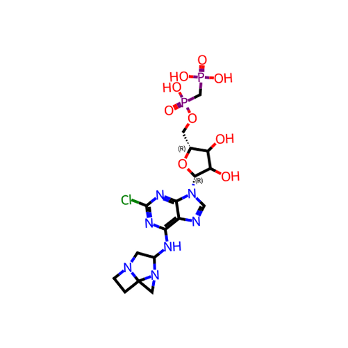 O=P(O)(O)CP(=O)(O)OC[C@H]1O[C@@H](n2cnc3c(NC4CN5CCC56CN46)nc(Cl)nc32)C(O)C1O